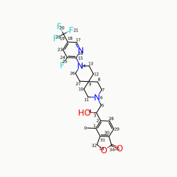 Cc1c(C(O)CN2CCC3(CC2)CCN(c2ncc(C(F)(F)F)cc2F)CC3)ccc2c1COC2=O